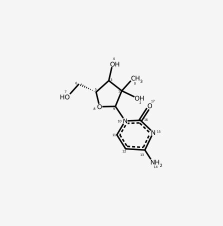 CC1(O)C(O)[C@@H](CO)OC1n1ccc(N)nc1=O